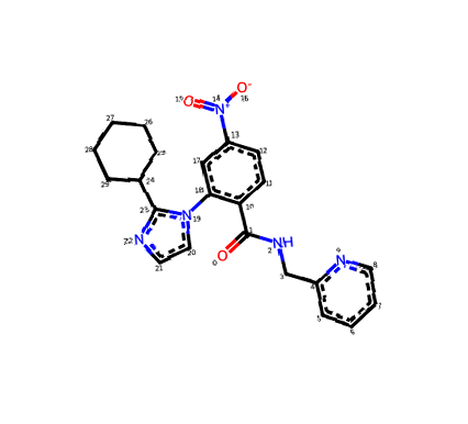 O=C(NCc1ccccn1)c1ccc([N+](=O)[O-])cc1-n1ccnc1C1CCCCC1